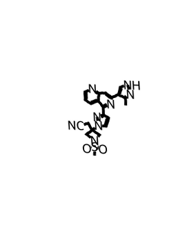 Cc1n[nH]cc1-c1cc2ncccc2c(-c2ccn(C3(CC#N)CN(S(C)(=O)=O)C3)n2)n1